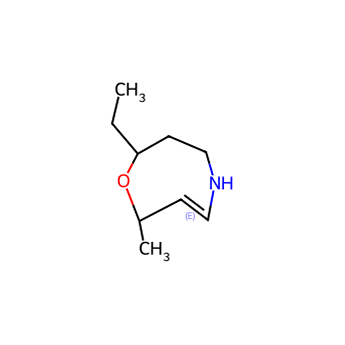 CCC1CCN/C=C/C(C)O1